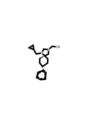 N#CCN1CN(CC2CC2)[C@]2(CC[C@@H](c3ccccc3)CC2)C1